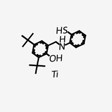 CC(C)(C)c1cc(CNc2ccccc2S)c(O)c(C(C)(C)C)c1.[Ti]